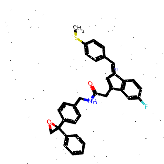 CSc1ccc(/C=C2\C=C(CC(=O)NCc3ccc(C4(c5ccccc5)CO4)cc3)c3cc(F)ccc32)cc1